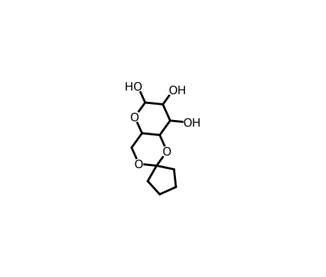 OC1OC2COC3(CCCC3)OC2C(O)C1O